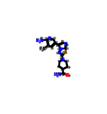 NC(=O)C1CCN(c2nn3c(-c4cnc(N)c(C(F)(F)F)c4)cnc3s2)CC1